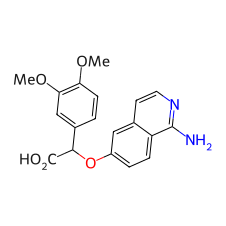 COc1ccc(C(Oc2ccc3c(N)nccc3c2)C(=O)O)cc1OC